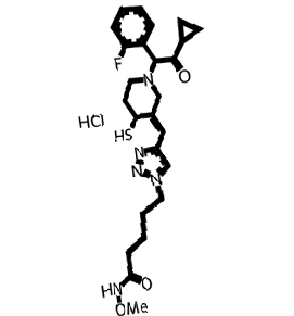 CONC(=O)CCCCn1cc(C=C2CN(C(C(=O)C3CC3)c3ccccc3F)CCC2S)nn1.Cl